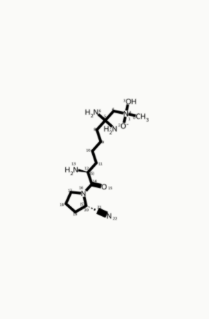 C[N+]([O-])(O)CC(N)(N)CCCC[C@H](N)C(=O)N1CCC[C@H]1C#N